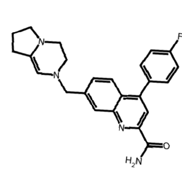 NC(=O)c1cc(-c2ccc(F)cc2)c2ccc(CN3C=C4CCCN4CC3)cc2n1